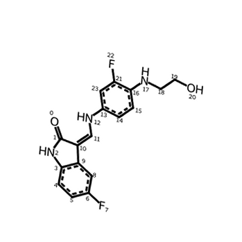 O=C1Nc2ccc(F)cc2C1=CNc1ccc(NCCO)c(F)c1